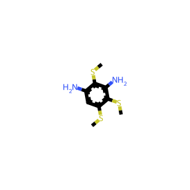 CSc1cc(N)c(SC)c(N)c1SC